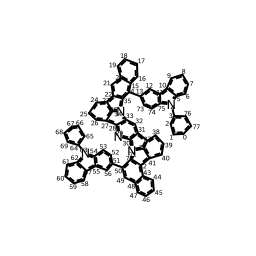 c1ccc(-n2c3ccccc3c3cc(-c4c5ccccc5cc5c6cccc7c8nc9c(cc8n(c45)c67)c4cccc5c6c7ccccc7cc(-c7ccc8c(c7)c7ccccc7n8-c7ccccc7)c6n9c45)ccc32)cc1